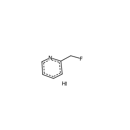 FCc1ccccn1.I